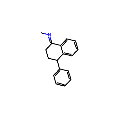 CN=C1CCC(c2ccccc2)c2ccccc21